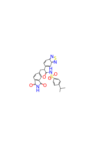 CC(C)c1ccc(S(=O)(=O)NC(=O)C(Cc2ccc3c(c2)C(=O)NC3=O)c2ccc3nsnc3c2)cc1